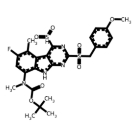 COc1ccc(CS(=O)(=O)c2nc([SH](=O)=O)c3c(n2)[nH]c2c(N(C)C(=O)OC(C)(C)C)cc(F)c(C)c23)cc1